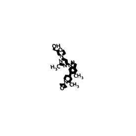 Cc1nc(N2CCO[C@H](CO)C2)cc(-n2ncc3cc(C)c(C4CCN(C5COC5)C(C)C4)cc32)n1